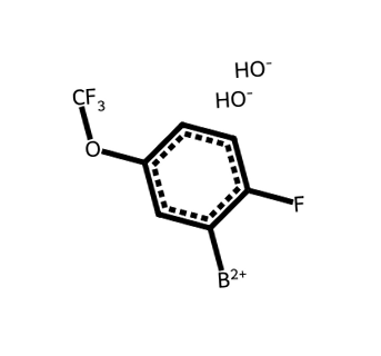 [B+2]c1cc(OC(F)(F)F)ccc1F.[OH-].[OH-]